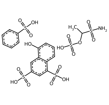 CC(OS(=O)(=O)O)S(N)(=O)=O.O=S(=O)(O)c1cc(S(=O)(=O)O)c2cccc(O)c2c1.O=S(=O)(O)c1ccccc1